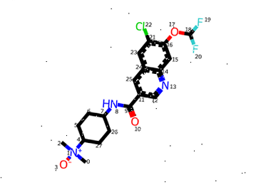 C[N+](C)([O-])C1CCC(NC(=O)c2cnc3cc(OC(F)F)c(Cl)cc3c2)CC1